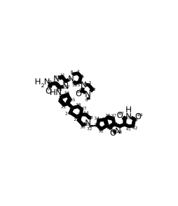 CN1CCN([C@@H]2CCCN(c3cnc(C(N)=O)c(Nc4ccc(C5CCC6(CC5)CCN(C[C@H]5Cc7ccc8c(C9CCC(=O)NC9=O)noc8c7C5)CC6)cc4)n3)C2)C1=O